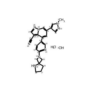 Cl.Cl.Cn1cc(-c2cc(-c3ccc(N4CC5(CCCN5)C4)nc3)c3c(C#N)cnn3c2)cn1